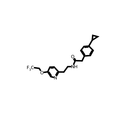 O=C(Cc1ccc(C2CC2)cc1)NCCc1ccc(OCC(F)(F)F)cn1